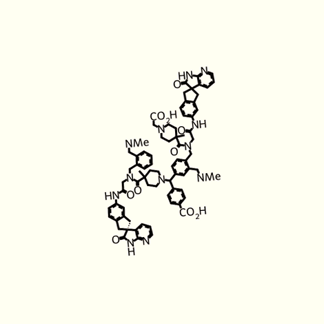 CNCc1cc(C(c2ccc(C(=O)O)cc2)N2CCC(C)(C(=O)N(CC(=O)Nc3ccc4c(c3)C[C@@]3(C4)C(=O)Nc4ncccc43)Cc3ccccc3CNC)CC2)ccc1CN(CC(=O)Nc1ccc2c(c1)CC1(C2)C(=O)Nc2ncccc21)C(=O)C1(C)CCN(CC(=O)O)CC1